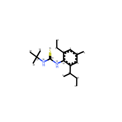 CCc1cc(C)cc(C(C)CC)c1NC(=S)NC(C)(C)C